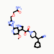 COc1cnc(-n2cnc(COCC(N)=O)n2)c2[nH]cc(C(=O)C(=O)N3CCC(=C(C#N)c4ccccc4)CC3)c12